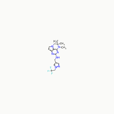 CN1c2nc(NCc3cnn(CC(F)(F)F)c3)nc3ccn(c23)CC1(C)C